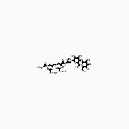 CCCCCCCC(=O)NC(CSCC(COC(=O)CCCCCCC)OC(=O)CCCCCCC)C(=O)Nc1cn([C@@H]2OC(CO)C(OC3OC(CO)C(O)C(O)C3O)C(O)C2O)nn1